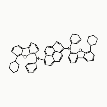 C1=CC(N(c2ccc3ccc4c(N(c5ccccc5)c5cccc6c5oc5c(C7CCCCC7)cccc56)ccc5ccc2c3c54)c2cccc3c2oc2c(C4CCCCC4)cccc23)=CCC1